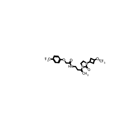 C=C(CCNC(=O)COc1ccc(C(F)(F)F)cc1)N1CCN(C2CC(OC(F)(F)F)C2)C1=O